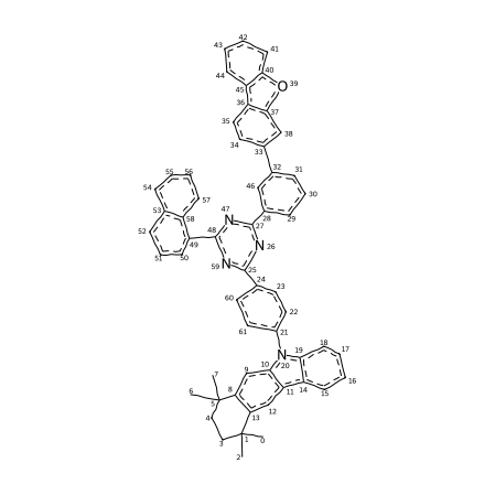 CC1(C)CCC(C)(C)c2cc3c(cc21)c1ccccc1n3-c1ccc(-c2nc(-c3cccc(-c4ccc5c(c4)oc4ccccc45)c3)nc(-c3cccc4ccccc34)n2)cc1